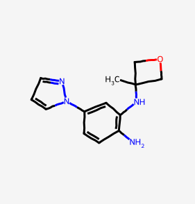 CC1(Nc2cc(-n3cccn3)ccc2N)COC1